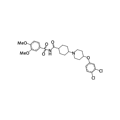 COc1ccc(S(=O)(=O)NC(=O)C2CCC(N3CCC(Oc4ccc(Cl)c(Cl)c4)CC3)CC2)cc1OC